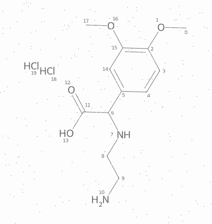 COc1ccc(C(NCCN)C(=O)O)cc1OC.Cl.Cl